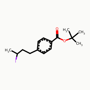 CC(I)CCc1ccc(C(=O)OC(C)(C)C)cc1